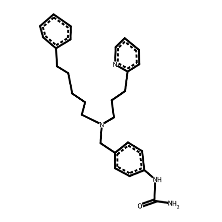 NC(=O)Nc1ccc(CN(CCCCCc2ccccc2)CCCc2ccccn2)cc1